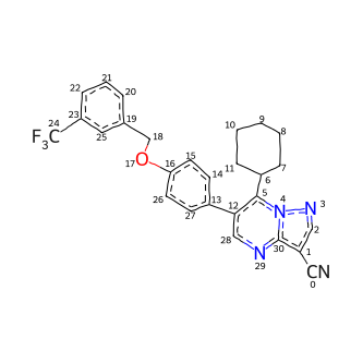 N#Cc1cnn2c(C3CCCCC3)c(-c3ccc(OCc4cccc(C(F)(F)F)c4)cc3)cnc12